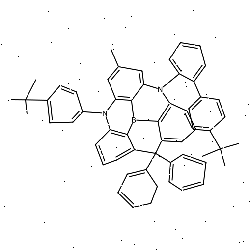 Cc1cc2c3c(c1)N(c1ccccc1-c1ccc(C(C)(C)C)cc1)c1cccc4c1B3c1c(cccc1C4(C1=CC=CCC1)c1ccccc1)N2c1ccc(C(C)(C)C)cc1